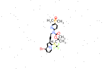 CC(C)(C)OC(=O)N(CC#Cc1cc2c(Br)cccn2c1SC(F)(F)F)c1ccc(P(C)(C)=O)cn1